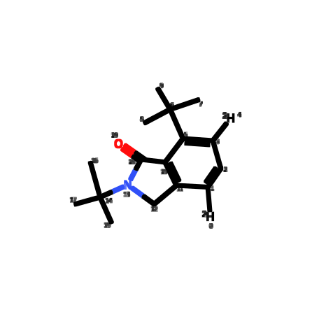 [2H]c1cc([2H])c(C(C)(C)C)c2c1CN(C(C)(C)C)C2=O